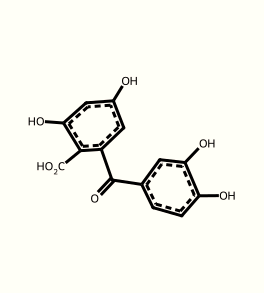 O=C(c1ccc(O)c(O)c1)c1cc(O)cc(O)c1C(=O)O